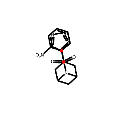 O=[N+]([O-])c1ccccc1S(=O)(=O)N1C2CC1CC(n1cnnn1)C2